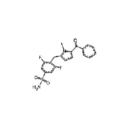 Cn1c(Cc2c(F)cc(S(N)(=O)=O)cc2F)ccc1C(=O)c1ccccc1